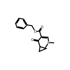 CN(C)C=C(C(=O)OCc1ccccc1)C(=O)C1CC1